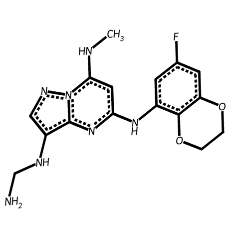 CNc1cc(Nc2cc(F)cc3c2OCCO3)nc2c(NCN)cnn12